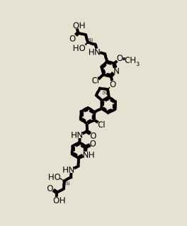 COc1nc(O[C@H]2CCc3c(-c4cccc(C(=O)Nc5ccc(CNC[C@@H](O)CC(=O)O)[nH]c5=O)c4Cl)cccc32)c(Cl)cc1CNC[C@@H](O)CC(=O)O